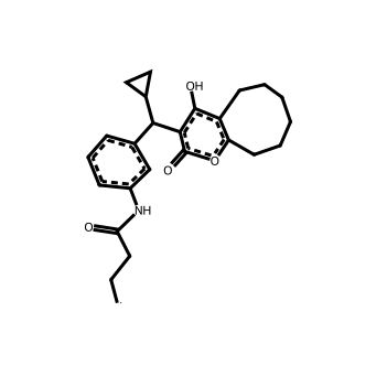 [CH2]CCC(=O)Nc1cccc(C(c2c(O)c3c(oc2=O)CCCCCC3)C2CC2)c1